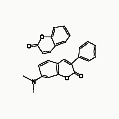 CN(C)c1ccc2cc(-c3ccccc3)c(=O)oc2c1.O=c1ccc2ccccc2o1